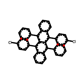 Clc1ccc(-c2c3ccccc3c(-c3ccccc3)c3c(-c4ccc(Cl)cc4)c4ccccc4c(-c4ccccc4)c23)cc1